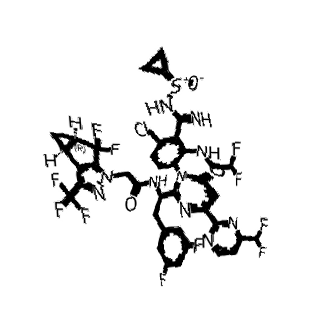 N=C(N[S+]([O-])C1CC1)c1c(Cl)ccc(-n2c(C(Cc3cc(F)cc(F)c3)NC(=O)Cn3nc(C(F)(F)F)c4c3C(F)(F)[C@@H]3C[C@H]43)nc(-c3nccc(C(F)F)n3)cc2=O)c1NCC(F)F